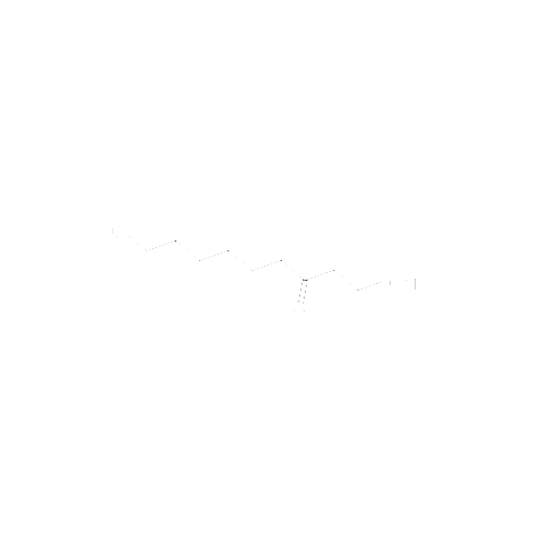 CCCCCCCCCC(=O)CCCCCCCl